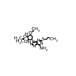 CCCSc1nc(N)c2nnn([C@@H]3C[C@H](OCC)[C@H]4OC(C)(C)O[C@H]43)c2n1